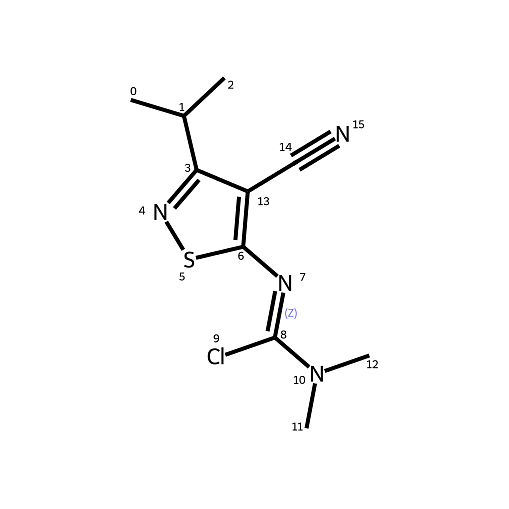 CC(C)c1nsc(/N=C(\Cl)N(C)C)c1C#N